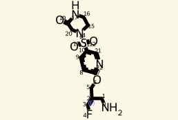 NC/C(=C\F)COc1ccc(S(=O)(=O)N2CCNC(=O)C2)cn1